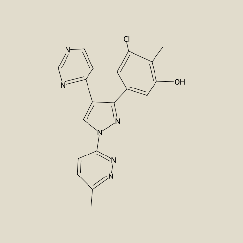 Cc1ccc(-n2cc(-c3ccncn3)c(-c3cc(O)c(C)c(Cl)c3)n2)nn1